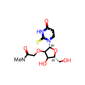 CNC(=O)COC1C(O)[C@@H](CO)O[C@H]1n1ccc(=O)[nH]c1=S